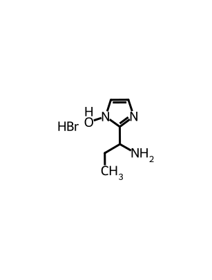 Br.CCC(N)c1nccn1O